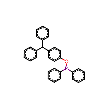 c1ccc(C(c2ccccc2)c2ccc(OP(c3ccccc3)c3ccccc3)cc2)cc1